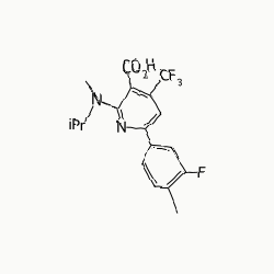 Cc1ccc(-c2cc(C(F)(F)F)c(C(=O)O)c(N(C)C(C)C)n2)cc1F